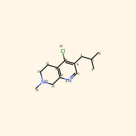 CC(C)Cc1cnc2c(c1Cl)CCN(C)C2